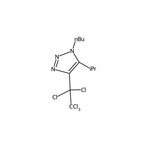 CCCCn1nnc(C(Cl)(Cl)C(Cl)(Cl)Cl)c1C(C)C